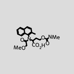 CNC(=O)OCCC(C(=O)O)N(C(=O)COC)c1c(C)ccc2ccccc12